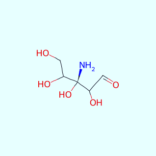 N[C@](O)(C(O)C=O)C(O)CO